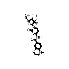 CN1CCOc2cc(C(=O)Nc3ccn(C4O[C@H](CO)[C@@H](O)C4(F)F)c(=O)n3)ccc21